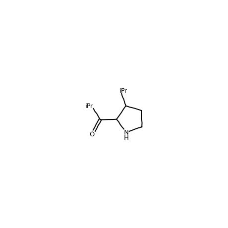 CC(C)C(=O)C1NCCC1C(C)C